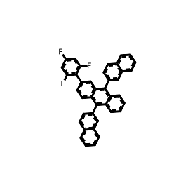 Fc1cc(F)c(-c2ccc3c(-c4ccc5ccccc5c4)c4ccccc4c(-c4ccc5ccccc5c4)c3c2)c(F)c1